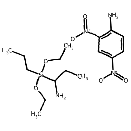 CCC[Si](OCC)(OCC)C(N)CC.Nc1ccc([N+](=O)[O-])cc1[N+](=O)[O-]